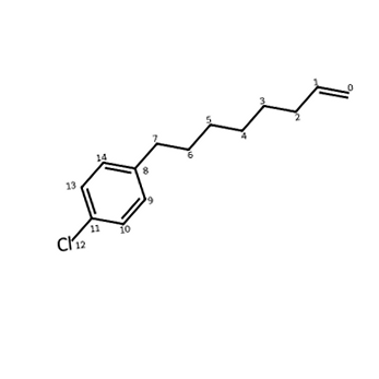 C=CCCCCCCc1ccc(Cl)cc1